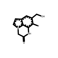 O=C1Cn2ccc3cc(CO)c(F)c(c32)N1